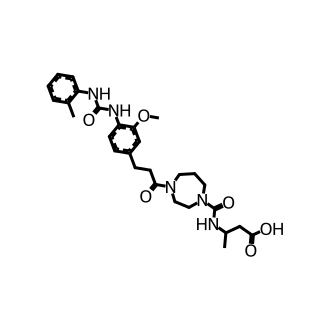 COc1cc(CCC(=O)N2CCCN(C(=O)NC(C)CC(=O)O)CC2)ccc1NC(=O)Nc1ccccc1C